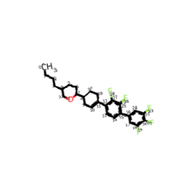 CCCCC1CCC(C2CC=C(c3ccc(-c4cc(F)c(F)c(F)c4)c(F)c3F)CC2)OC1